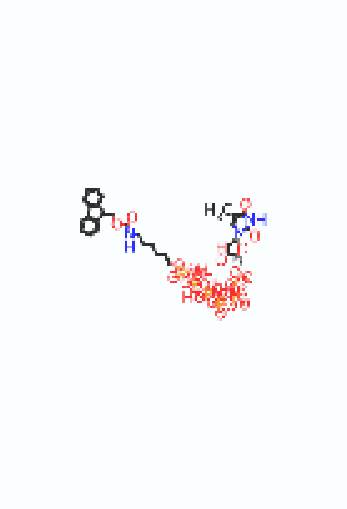 Cc1cn([C@H]2CC(O)[C@@H](COP(=O)(O)OP(=O)(O)OP(=O)(O)OP(=O)(O)OP(=O)(O)OP(=O)(O)OCCCCCCNC(=O)OCC3c4ccccc4-c4ccccc43)O2)c(=O)[nH]c1=O